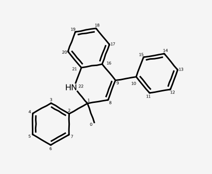 CC1(c2ccccc2)C=C(c2ccccc2)c2ccccc2N1